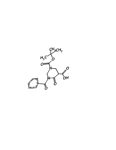 CC(C)(C)OC(=O)N1CC(C(=O)O)C(=O)N(C(=O)c2ccccc2)C1